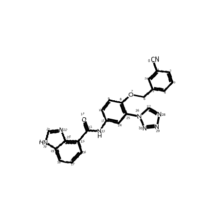 N#Cc1cccc(COc2ccc(NC(=O)c3cccc4[nH]cnc34)cc2-n2cnnn2)c1